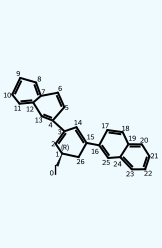 I[C@H]1C=C(c2ccc3ccccc3c2)C=C(c2ccc3ccccc3c2)C1